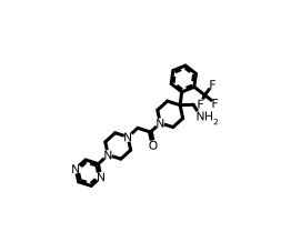 NCC1(c2ccccc2C(F)(F)F)CCN(C(=O)CN2CCN(c3cnccn3)CC2)CC1